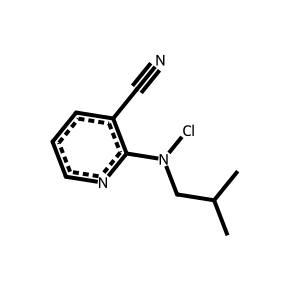 CC(C)CN(Cl)c1ncccc1C#N